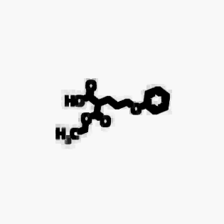 CCOC(=O)C(CCCOc1ccccc1)C(=O)O